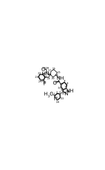 Cc1cc(-c2n[nH]c3ccc(C(=O)NC4CCCC(Cc5ccccc5F)(NC=O)C4)cc23)ccn1